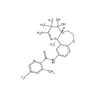 Cc1cc(C(F)(F)F)cnc1C(=O)Nc1ccc2c(c1)[C@@]1(C)N=C(N)C(C)(C)S(O)(O)[C@@H]1CCO2